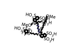 COCCNc1ccc2c(S(=O)(=O)O)cc(S(=O)(=O)O)cc2c1C(C)(C/C=C/C=C/C=C1/N(CCCCCC(=O)Oc2c(F)c(F)c(S(=O)(=O)O)c(F)c2F)c2ccc3c(S(=O)(=O)O)cc(S(=O)(=O)O)cc3c2C1(C)CCOCCOCCOCCOC)CCCS(=O)(=O)O